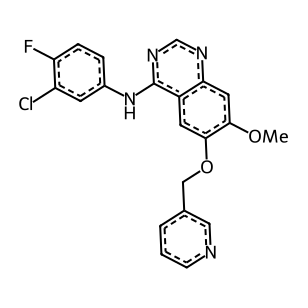 COc1cc2ncnc(Nc3ccc(F)c(Cl)c3)c2cc1OCc1cccnc1